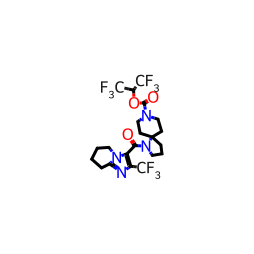 O=C(OC(C(F)(F)F)C(F)(F)F)N1CCC2(CCCN2C(=O)c2c(C(F)(F)F)nc3n2CCCC3)CC1